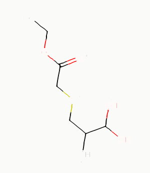 CCOC(=O)CSCC(C)C(O)O